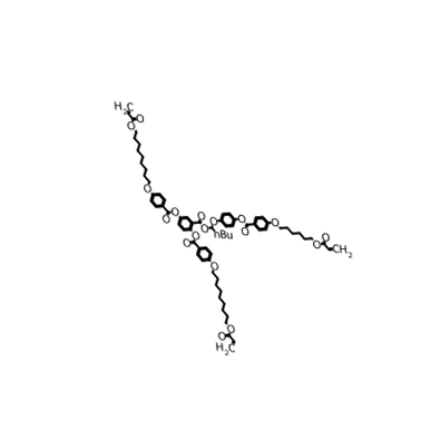 C=CC(=O)OCCCCCCCCCOc1ccc(C(=O)Oc2ccc(OC(=O)c3ccc(OCCCCCCCCCOC(=O)C=C)cc3)c(C(=O)OC(CCCC)Oc3ccc(OC(=O)c4ccc(OCCCCCCOC(=O)C=C)cc4)cc3)c2)cc1